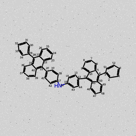 c1ccc(-c2c3ccccc3c(-c3ccc(Nc4ccc(-c5c6ccccc6c(-c6ccccc6)c6ccccc56)cc4)cc3)c3ccccc23)cc1